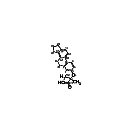 CC(C)(Oc1ccc2c(c1)CCc1c-2ccc2c1CCC2)C(=O)O